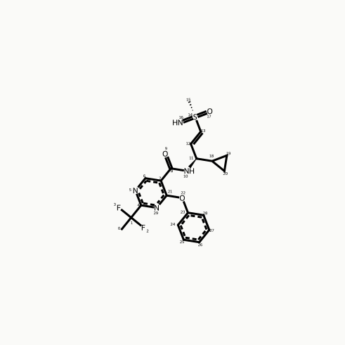 CC(F)(F)c1ncc(C(=O)N[C@@H](/C=C/[S@@](C)(=N)=O)C2CC2)c(Oc2ccccc2)n1